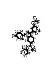 N#C[C@]1(NC(=O)[C@@H]2CCc3c(-c4cncc(OC(F)F)c4)nn(-c4ccc(F)cn4)c3C2)CCOC1